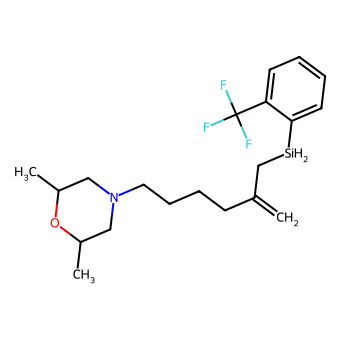 C=C(CCCCN1CC(C)OC(C)C1)C[SiH2]c1ccccc1C(F)(F)F